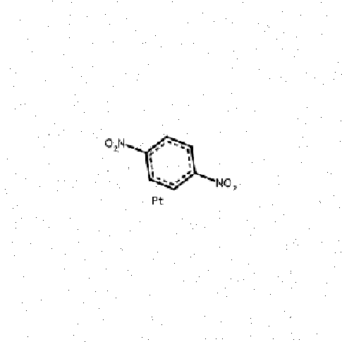 O=[N+]([O-])c1ccc([N+](=O)[O-])cc1.[Pt]